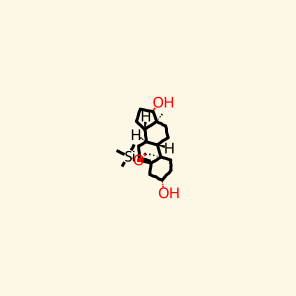 C[C@]12CC[C@H]3[C@@H](CC=C4C[C@@H](O)CC[C@@]43CO[Si](C)(C)C)[C@@H]1CC[C@@H]2O